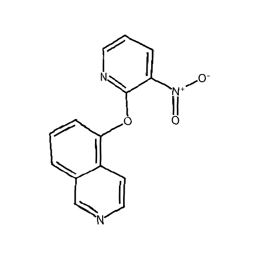 O=[N+]([O-])c1cccnc1Oc1cccc2cnccc12